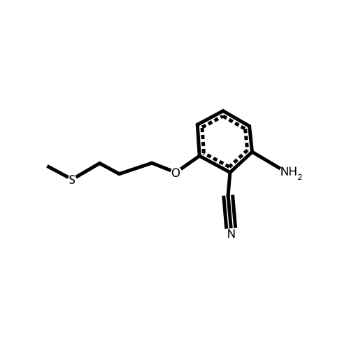 CSCCCOc1cccc(N)c1C#N